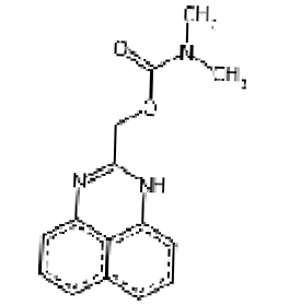 CN(C)C(=O)OCC1=Nc2cccc3cccc(c23)N1